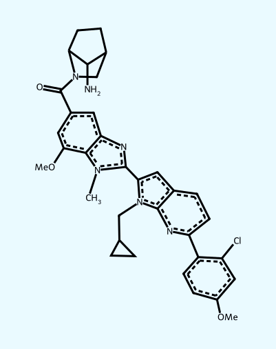 COc1ccc(-c2ccc3cc(-c4nc5cc(C(=O)N6CC7CCC6C7N)cc(OC)c5n4C)n(CC4CC4)c3n2)c(Cl)c1